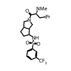 CN[C@@H](CC(C)C)C(=O)N1CC2CCC(NS(=O)(=O)c3cccc(C(F)(F)F)c3)C2C1